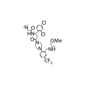 COCC(C)NCc1cc(C(F)(F)F)ccc1N1CCN(C(=O)CC(NC(=O)CN(C)C)c2ccc(Cl)cc2Cl)CC1